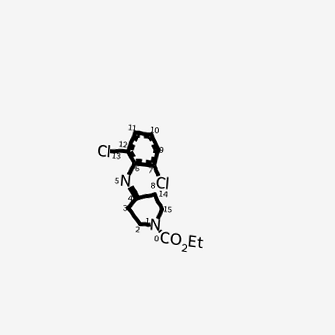 CCOC(=O)N1CCC(=Nc2c(Cl)cccc2Cl)CC1